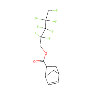 O=C(OCC(F)(F)C(F)(F)C(F)(F)CF)C1CC2C=CC1C2